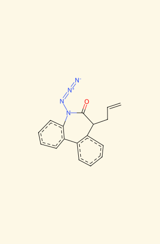 C=CCC1C(=O)N(N=[N+]=[N-])c2ccccc2-c2ccccc21